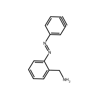 NCc1ccccc1/N=N/c1cc#ccc1